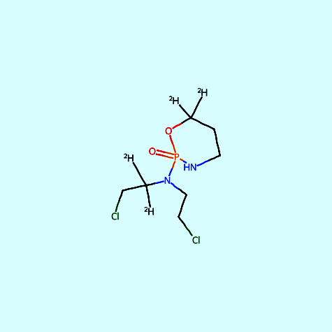 [2H]C1([2H])CCNP(=O)(N(CCCl)C([2H])([2H])CCl)O1